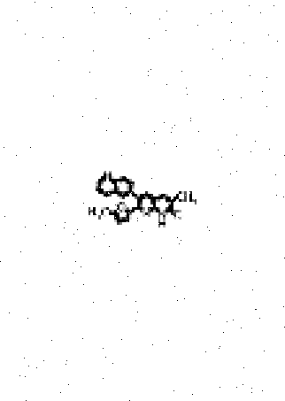 Cc1ccc(-c2nc3[nH]c(=O)c(C)cc3cc2-c2ccc3ncccc3c2)o1